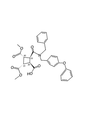 COC(=O)[C@H]1[C@H](C(=O)O)[C@H](C(=O)N(Cc2ccccc2)Cc2ccc(Oc3ccccc3)cc2)[C@H]1C(=O)OC